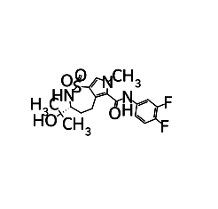 Cn1cc2c(c1C(=O)Nc1ccc(F)c(F)c1)CC[C@H](C(C)(C)O)NS2(=O)=O